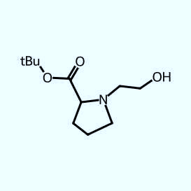 CC(C)(C)OC(=O)C1CCCN1CCO